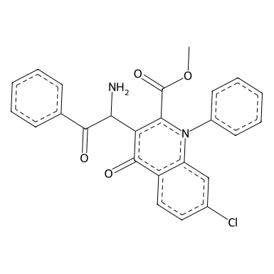 COC(=O)c1c(C(N)C(=O)c2ccccc2)c(=O)c2ccc(Cl)cc2n1-c1ccccc1